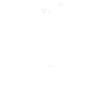 COCOCC/C=C\C[CH2][Mg][Br]